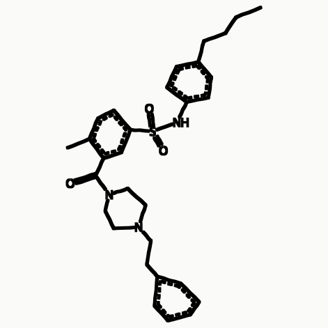 CCCCc1ccc(NS(=O)(=O)c2ccc(C)c(C(=O)N3CCN(CCc4ccccc4)CC3)c2)cc1